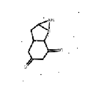 O=C1CC(=O)C2C(C1)CC1NN12